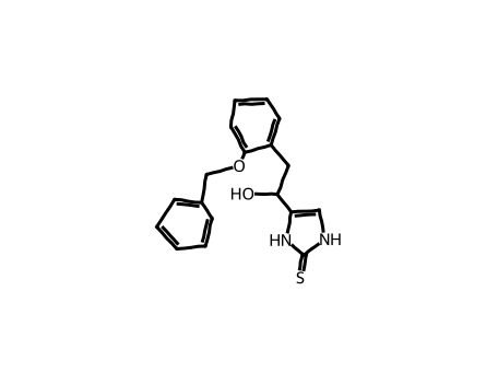 OC(Cc1ccccc1OCc1ccccc1)c1c[nH]c(=S)[nH]1